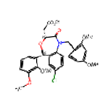 CCOC(=O)C[C@H]1O[C@H](c2cccc(OC(F)(F)F)c2OC)c2cc(Cl)ccc2N(Cc2ccc(OC)cc2OC)C1=O